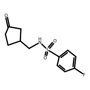 O=C1CCC(CNS(=O)(=O)c2ccc(F)cc2)C1